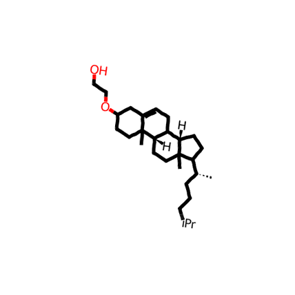 CC(C)CCC[C@@H](C)C1CC[C@H]2C3CC=C4CC(OCCO)CCC4(C)[C@H]3CCC12C